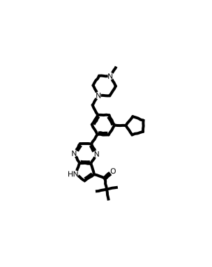 CN1CCN(Cc2cc(-c3cnc4[nH]cc(C(=O)C(C)(C)C)c4n3)cc(C3CCCC3)c2)CC1